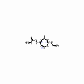 C=C(C=N)OCC1=C/C(C)/C=C(/CCC(C)C)C/C=C\1